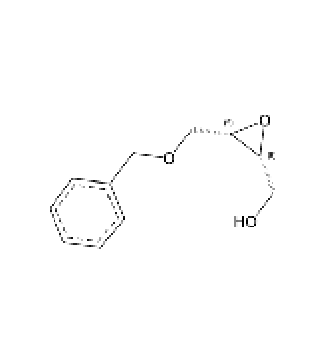 OC[C@H]1O[C@H]1COCc1ccccc1